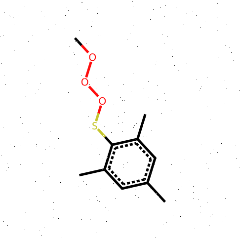 COOOSc1c(C)cc(C)cc1C